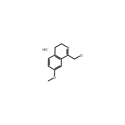 COc1ccc2c(c1)C(CCl)=NCC2.Cl